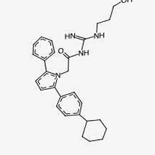 N=C(NCCCO)NC(=O)Cn1c(-c2ccccc2)ccc1-c1ccc(C2CCCCC2)cc1